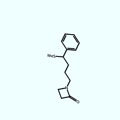 CSC(CCCN1CCC1=O)c1ccccc1